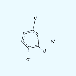 [K+].[O-]c1ccc(Cl)cc1Cl